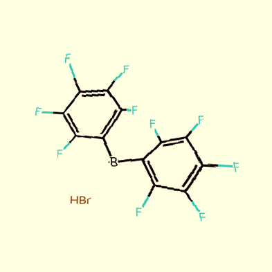 Br.Fc1c(F)c(F)c([B]c2c(F)c(F)c(F)c(F)c2F)c(F)c1F